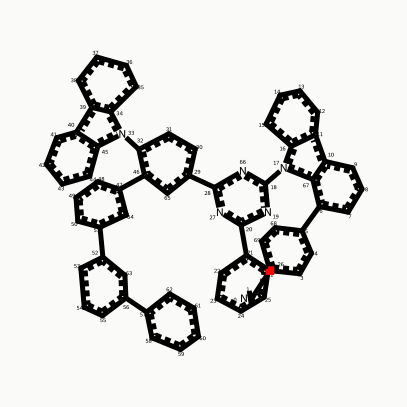 N#Cc1ccc(-c2cccc3c4ccccc4n(-c4nc(-c5ccccc5)nc(-c5ccc(-n6c7ccccc7c7ccccc76)c(-c6cccc(-c7cccc(-c8ccccc8)c7)c6)c5)n4)c23)cc1